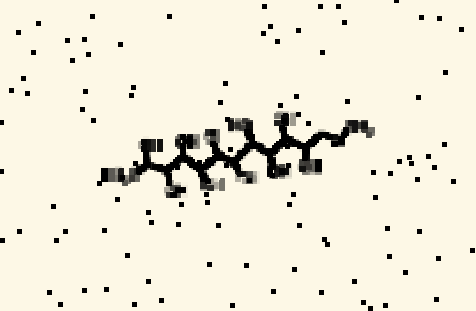 NOCC(O)C(O)C(O)C(O)C(O)C(O)C(O)C(O)C(O)C(O)C(=O)O